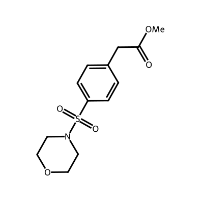 COC(=O)Cc1ccc(S(=O)(=O)N2CCOCC2)cc1